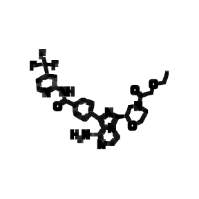 CCOCC(=O)N1CCO[C@@H](c2nc(-c3ccc(C(=O)Nc4cc(C(F)(F)F)ccn4)cc3)c3c(N)nccn23)C1